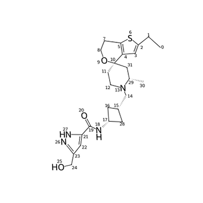 CCc1cc2c(s1)CCO[C@@]21CCN(C[C@H]2C[C@@H](NC(=O)c3cc(CO)n[nH]3)C2)[C@@H](C)C1